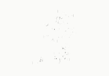 CC(C)c1[nH]nc(O[C@@H]2O[C@H](CO)[C@@H](O)[C@H](O)[C@H]2O)c1Cc1ccc(CCCC(=O)NC(C)(C)C(=O)NCCCN(C)C)cc1